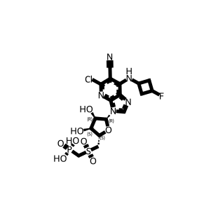 N#Cc1c(Cl)nc2c(ncn2[C@@H]2O[C@H](CS(=O)(=O)CP(=O)(O)O)[C@@H](O)[C@H]2O)c1NC1CC(F)C1